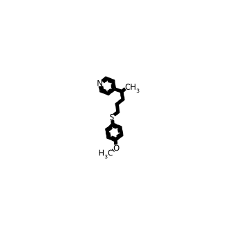 COc1ccc(SCCCC(C)c2ccncc2)cc1